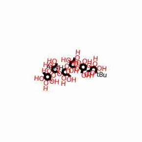 CC(=O)NC1[C@H](O[C@@H]2C(O)[C@@H](O[C@H]3C(CO)C[C@@H](O[C@@H]4C(CO)OC(C(C)(C)C)C(O)[C@H]4O)C(O)[C@H]3O)OC(CO)[C@@H]2O)OC(CO)[C@H](O)[C@@H]1O[C@@H]1OC(CO)[C@H](O)[C@H](O)C1OC1CC(C)[C@@H](O)C(O)[C@@H]1O